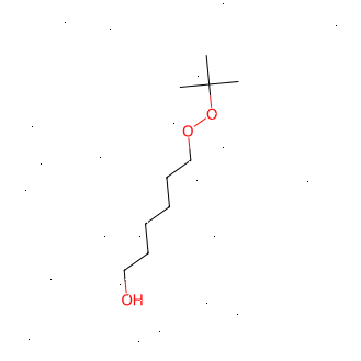 CC(C)(C)OOCCCCCCO